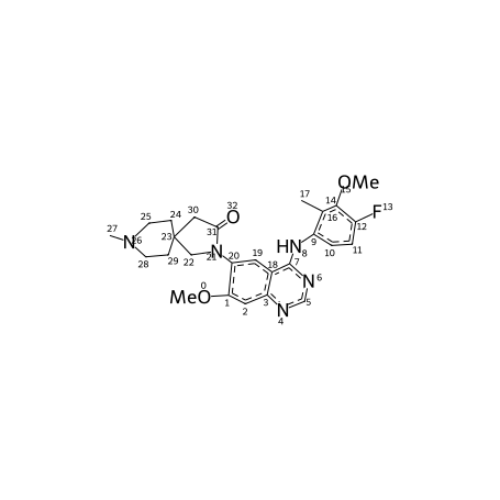 COc1cc2ncnc(Nc3ccc(F)c(OC)c3C)c2cc1N1CC2(CCN(C)CC2)CC1=O